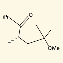 COC(C)(C)C[C@H](C)C(=O)C(C)C